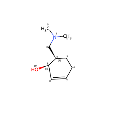 CN(C)C[C@H]1CCC=C[C@H]1O